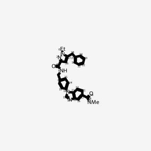 CCn1nc(C(=O)NCc2ccc(-n3cnc4cc(C(=O)NC)ccc43)cc2)cc1Cc1ccccc1